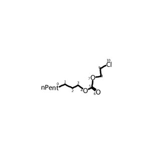 CCCCCCCCOC(=O)OCCCl